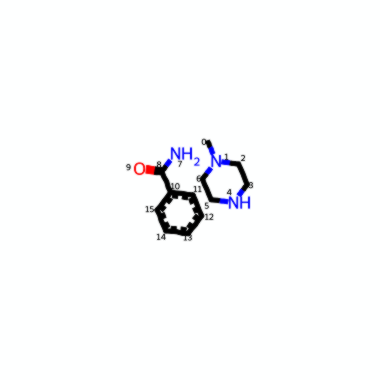 CN1CCNCC1.NC(=O)c1ccccc1